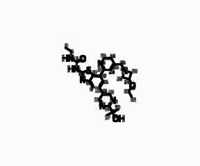 CCNC(=O)Nc1nc2cc(-c3cnc(C(C)(C)O)nc3)cc(-c3cc(CN4CC(OCC)C4)ccn3)c2s1